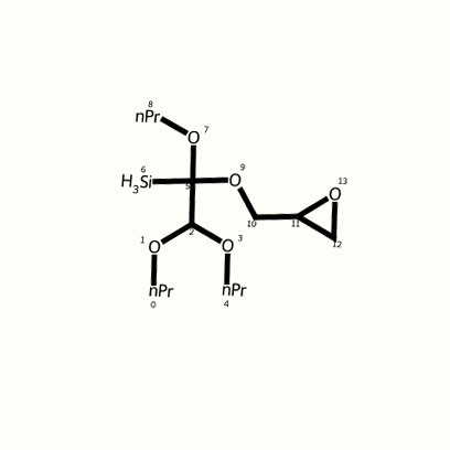 CCCOC(OCCC)C([SiH3])(OCCC)OCC1CO1